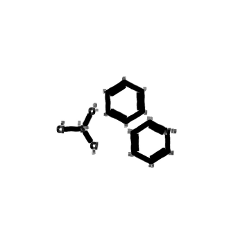 [O-][S+](Cl)Cl.c1ccccc1.c1ccncc1